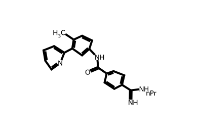 CCCNC(=N)c1ccc(C(=O)Nc2ccc(C)c(-c3ccccn3)c2)cc1